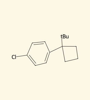 [CH2]C(C)(C)C1(c2ccc(Cl)cc2)CCC1